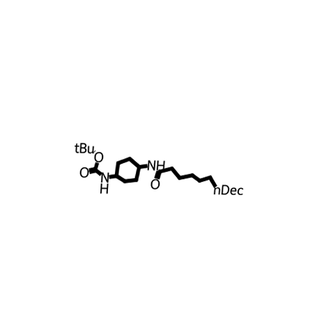 CCCCCCCCCCCCCCCC(=O)NC1CCC(NC(=O)OC(C)(C)C)CC1